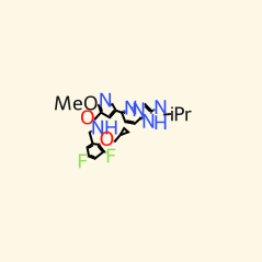 COc1ncc(-c2ccc3nc(NCC(C)C)cn3n2)cc1C(=O)NCc1cc(F)cc(F)c1OCC1CC1